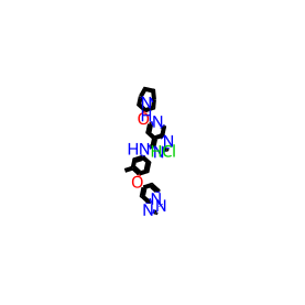 Cc1cc(Nc2ncnc3cnc(OC4CC5CCC(C4)N5)cc23)ccc1Oc1ccn2ncnc2c1.Cl